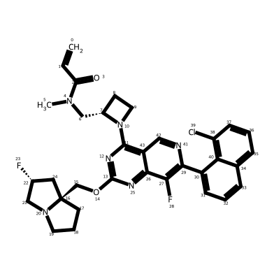 C=CC(=O)N(C)C[C@@H]1CCN1c1nc(OC[C@@]23CCCN2C[C@H](F)C3)nc2c(F)c(-c3cccc4cccc(Cl)c34)ncc12